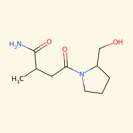 CC([CH]C(=O)N1CCCC1CO)C(N)=O